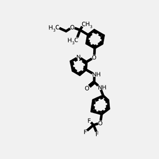 CCOC(C)(C)c1cccc(Oc2ncccc2NC(=O)Nc2ccc(OC(F)(F)F)cc2)c1